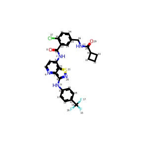 O=C(Nc1ccnc2c(Nc3ccc(C(F)(F)F)cc3)nsc12)c1cc(CNC(=O)C2CCC2)ccc1Cl